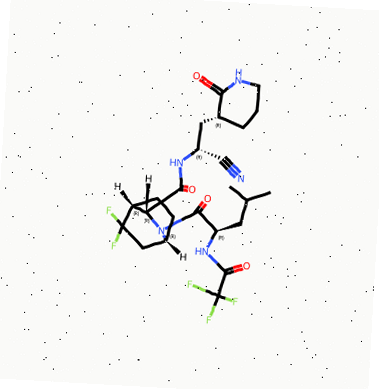 CC(C)C[C@@H](NC(=O)C(F)(F)F)C(=O)N1[C@@H]2CC[C@H]([C@@H]1C(=O)N[C@@H](C#N)C[C@H]1CCCNC1=O)C(F)(F)C2